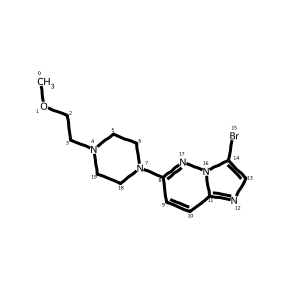 COCCN1CCN(c2ccc3ncc(Br)n3n2)CC1